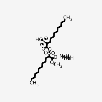 CCCCCCCCCCC(C(=O)OS(=O)(=O)C(CCCCCCCCCC)C(=O)OC)S(=O)(=O)O.[NaH].[NaH].[NaH]